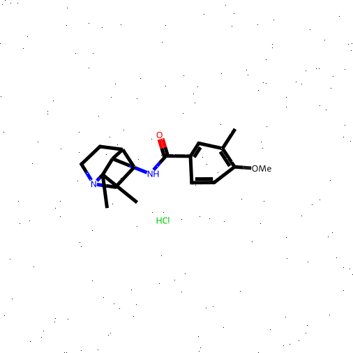 COc1ccc(C(=O)NC2C3CCN(CC3)C2(C)C)cc1C.Cl